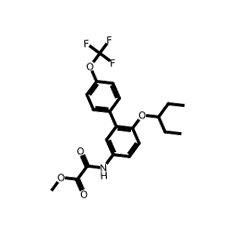 CCC(CC)Oc1ccc(NC(=O)C(=O)OC)cc1-c1ccc(OC(F)(F)F)cc1